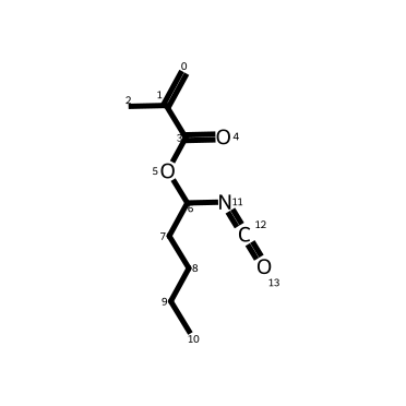 C=C(C)C(=O)OC(CCCC)N=C=O